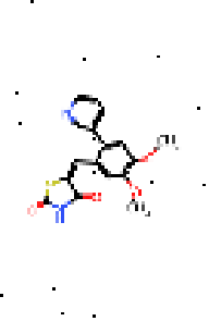 COc1cc(C=C2SC(=O)NC2=O)c(-c2cccnc2)cc1OC